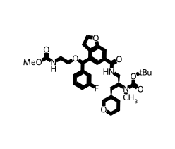 COC(=O)NCCOC(c1cccc(F)c1)c1cc(C(=O)NC[C@H](C[C@H]2CCCOC2)N(C)C(=O)OC(C)(C)C)cc2c1CCO2